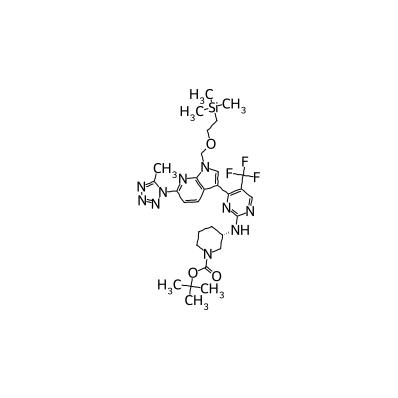 Cc1nnnn1-c1ccc2c(-c3nc(N[C@H]4CCCN(C(=O)OC(C)(C)C)C4)ncc3C(F)(F)F)cn(COCC[Si](C)(C)C)c2n1